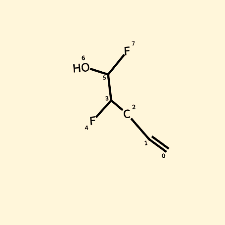 C=CCC(F)C(O)F